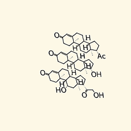 CC(=O)[C@H]1CC[C@H]2[C@@H]3CCC4=CC(=O)CC[C@]4(C)[C@H]3CC[C@]12C.C[C@]12CC[C@H]3[C@@H](CCC4=CC(=O)CC[C@@]43C)[C@@H]1CC[C@@H]2O.C[C@]12C[C@H](O)[C@H]3[C@@H](CCC4=CC(=O)CC[C@@]43C)[C@@H]1CC[C@@H]2C(=O)CO